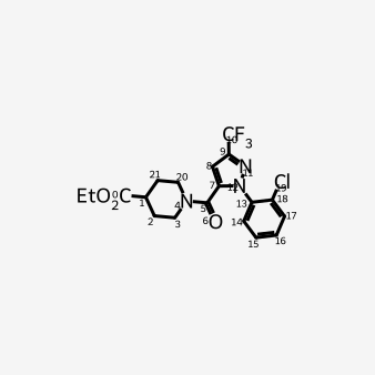 CCOC(=O)C1CCN(C(=O)c2cc(C(F)(F)F)nn2-c2ccccc2Cl)CC1